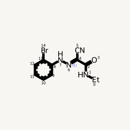 CCNC(=O)/C(C#N)=N/Nc1ccccc1Br